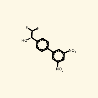 O=[N+]([O-])c1cc(-c2ccc([C@@H](O)C(F)F)cc2)cc([N+](=O)[O-])c1